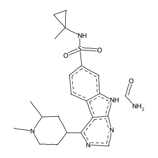 CC1CC(c2ncnc3[nH]c4cc(S(=O)(=O)NC5(C)CC5)ccc4c23)CCN1C.NC=O